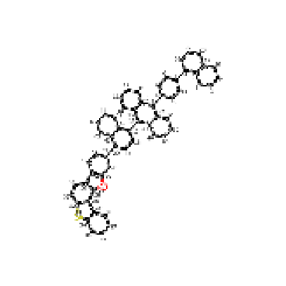 c1ccc2c(-c3ccc(-c4c5ccccc5c(-c5ccc(-c6ccc7c(c6)oc6c7ccc7sc8ccccc8c76)c6ccccc56)c5ccccc45)cc3)cccc2c1